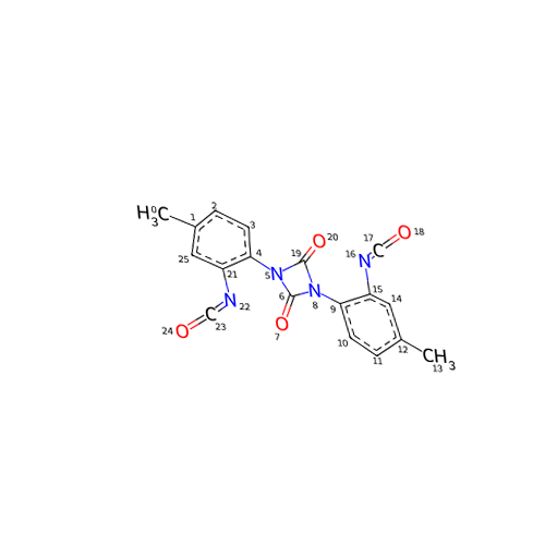 Cc1ccc(N2C(=O)N(c3ccc(C)cc3N=C=O)C2=O)c(N=C=O)c1